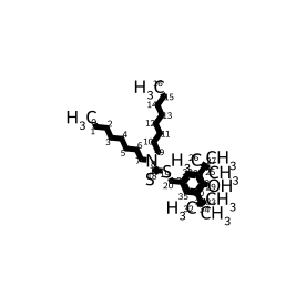 CCCCCCCCN(CCCCCCCC)C(=S)SCc1cc(C(C)(C)C)c(O)c(C(C)(C)C)c1